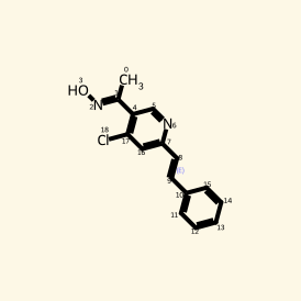 CC(=NO)c1cnc(/C=C/c2ccccc2)cc1Cl